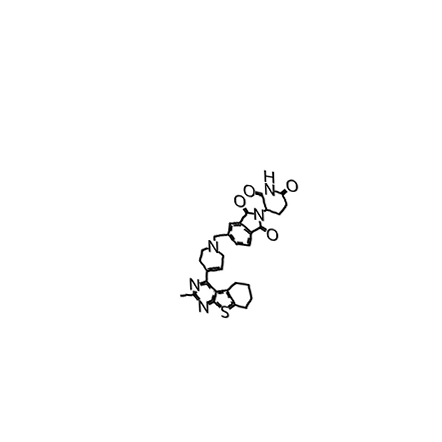 Cc1nc(C2=CCN(Cc3ccc4c(c3)C(=O)N(C3CCC(=O)NC3=O)C4=O)CC2)c2c3c(sc2n1)CCCC3